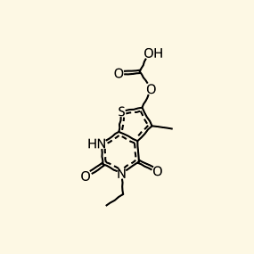 CCn1c(=O)[nH]c2sc(OC(=O)O)c(C)c2c1=O